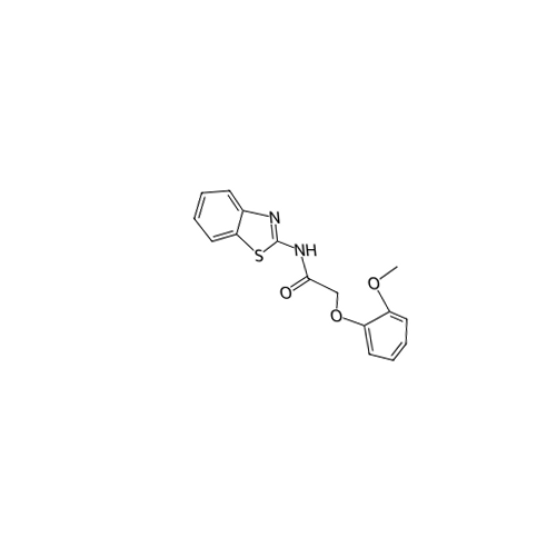 COc1ccccc1OCC(=O)Nc1nc2ccccc2s1